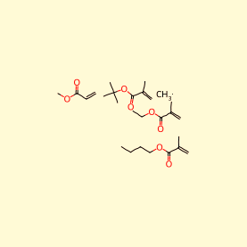 C=C(C)C(=O)OC(C)(C)C.C=C(C)C(=O)OCC.C=C(C)C(=O)OCCCC.C=CC(=O)OC.[CH3]